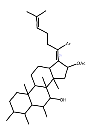 CC(=O)OC1CC2(C)C(CCC3C4(C)CCC(C)C(C)C4C(C)C(O)C32C)/C1=C(\CCC=C(C)C)C(C)=O